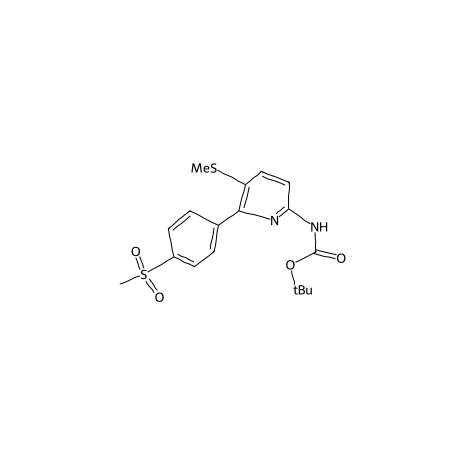 CSc1ccc(NC(=O)OC(C)(C)C)nc1-c1ccc(S(C)(=O)=O)cc1